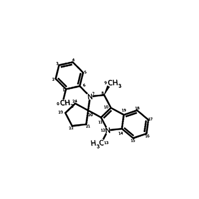 Cc1ccccc1N1[C@@H](C)c2c(n(C)c3ccccc23)C12CCCC2